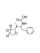 CC(C(Cc1ccccc1)NC(=O)O)[C@H]1OC[C@@H]2O[C@@H]21